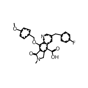 COc1ccc(COc2c3c(c(C(=O)O)c4cc(Cc5ccc(F)cc5)cnc24)CN(C)C3=O)cc1